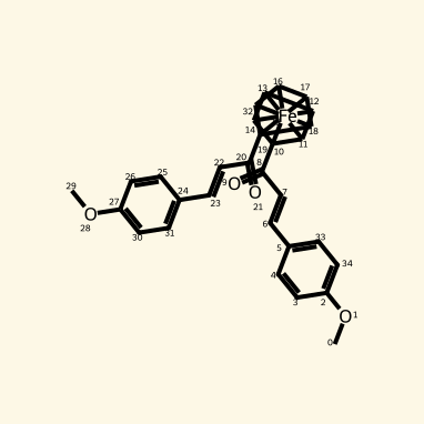 COc1ccc(C=CC(=O)[C]23[CH]4[CH]5[CH]6[CH]2[Fe]56432789[CH]3[CH]2[CH]7[C]8(C(=O)C=Cc2ccc(OC)cc2)[CH]39)cc1